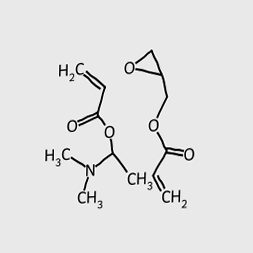 C=CC(=O)OC(C)N(C)C.C=CC(=O)OCC1CO1